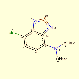 CCCCCCN(CCCCCC)c1ccc(Br)c2nsnc12